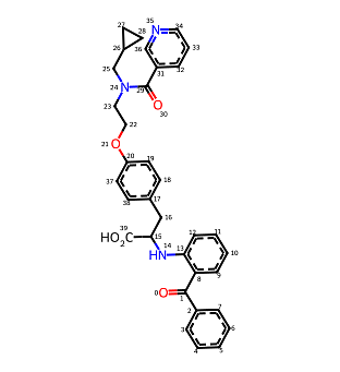 O=C(c1ccccc1)c1ccccc1NC(Cc1ccc(OCCN(CC2CC2)C(=O)c2cccnc2)cc1)C(=O)O